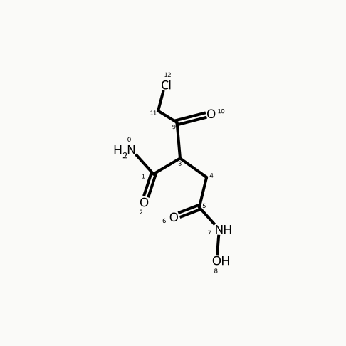 NC(=O)C(CC(=O)NO)C(=O)CCl